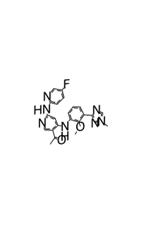 COc1c(Nc2cc(Nc3ccc(F)cn3)ncc2C(C)=O)cccc1-c1ncn(C)n1